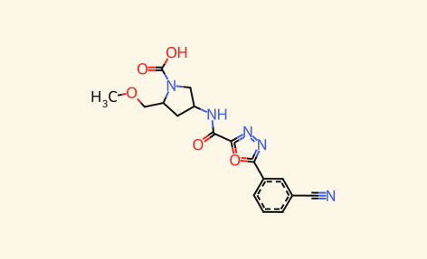 COCC1CC(NC(=O)c2nnc(-c3cccc(C#N)c3)o2)CN1C(=O)O